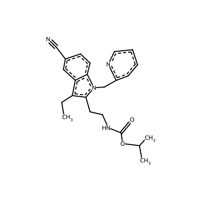 CCc1c(CCNC(=O)OC(C)C)n(Cc2ccccn2)c2ccc(C#N)cc12